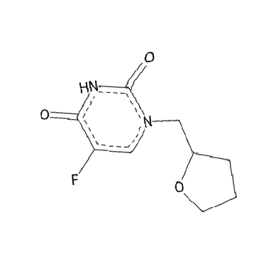 O=c1[nH]c(=O)n(CC2CCCO2)cc1F